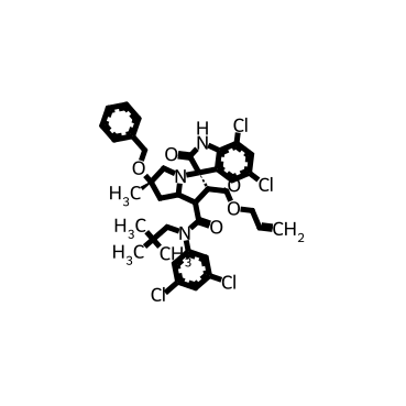 C=CCOC(=O)C1C(C(=O)N(CC(C)(C)C)c2cc(Cl)cc(Cl)c2)C2C[C@](C)(OCc3ccccc3)CN2[C@]12C(=O)Nc1c(Cl)cc(Cl)cc12